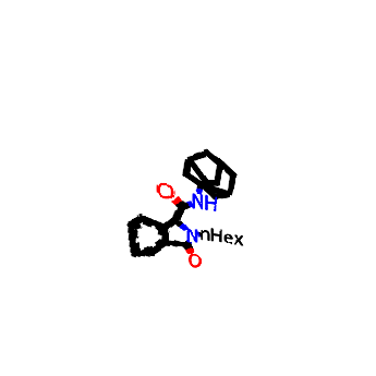 CCCCCCN1C(=O)c2ccccc2C1C(=O)NC12CC3CC(CC(C3)C1)C2